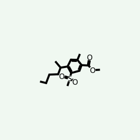 CCCCC(C)c1cc(C)c(C(=O)OC)cc1S(C)(=O)=O